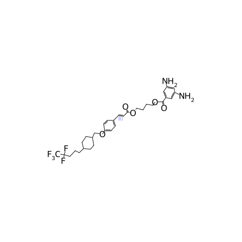 Nc1cc(N)cc(C(=O)OCCCCOC(=O)/C=C/c2ccc(OCC3CCC(CCCC(F)(F)C(F)(F)F)CC3)cc2)c1